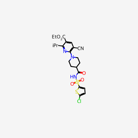 CCOC(=O)c1cc(C#N)c(N2CCC(C(=O)NS(=O)(=O)c3ccc(Cl)s3)CC2)nc1C(C)C